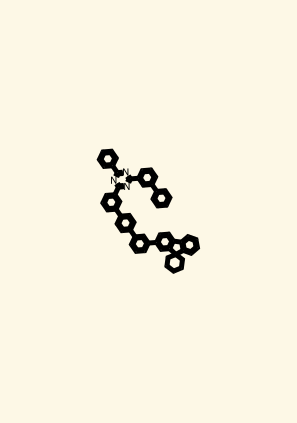 c1ccc(-c2cccc(-c3nc(-c4ccccc4)nc(-c4cccc(-c5ccc(-c6cccc(-c7ccc8c(c7)C7(CCCCC7)c7ccccc7-8)c6)cc5)c4)n3)c2)cc1